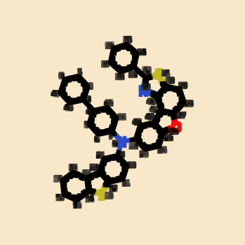 c1ccc(-c2ccc(N(c3ccc4sc5ccccc5c4c3)c3ccc4oc5ccc6sc(-c7ccccc7)nc6c5c4c3)cc2)cc1